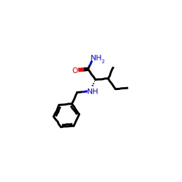 CCC(C)[C@H](NCc1ccccc1)C(N)=O